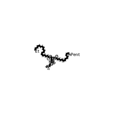 CC/C=C\C/C=C\C/C=C\C/C=C\C/C=C\CCCC(=O)O[C@H](COC(=O)CCCC/C=C\C/C=C\C/C=C\CCCCC)COP(=O)([O-])OCC[N+](C)(C)C